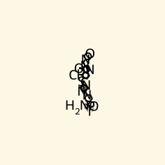 N[C@@H]1[C@H](I)OCC12CCN(c1cnc(Sc3ccc4ncn(CN5CCOCC5)c(=O)c4c3Cl)cn1)CC2